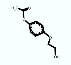 CC(=O)Oc1ccc(OCCO)cc1